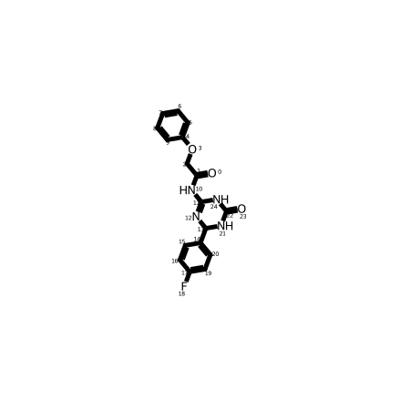 O=C(COc1ccccc1)NC1=NC(c2ccc(F)cc2)NC(=O)N1